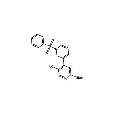 CSc1ncc(C(F)(F)F)c(C2=CC=CN(S(=O)(=O)c3ccccc3)C2)n1